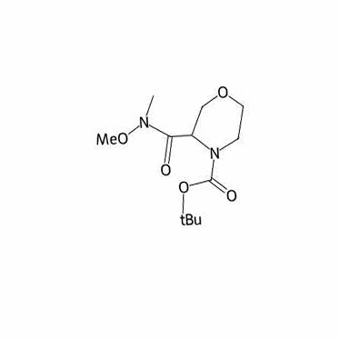 CON(C)C(=O)C1COCCN1C(=O)OC(C)(C)C